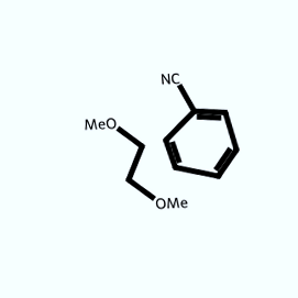 COCCOC.N#Cc1ccccc1